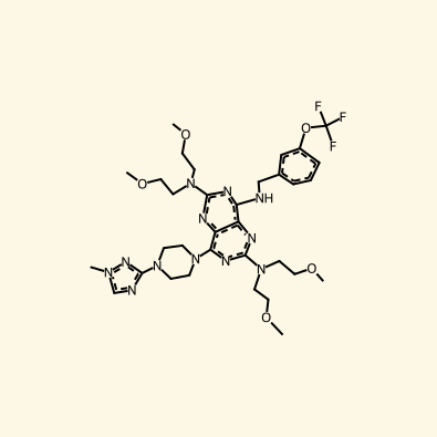 COCCN(CCOC)c1nc(N2CCN(c3ncn(C)n3)CC2)c2nc(N(CCOC)CCOC)nc(NCc3cccc(OC(F)(F)F)c3)c2n1